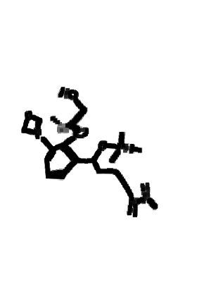 CPNCCC(O[PH](C)(C)C)c1cccc(P2COC2)c1O[C@H](C)CO